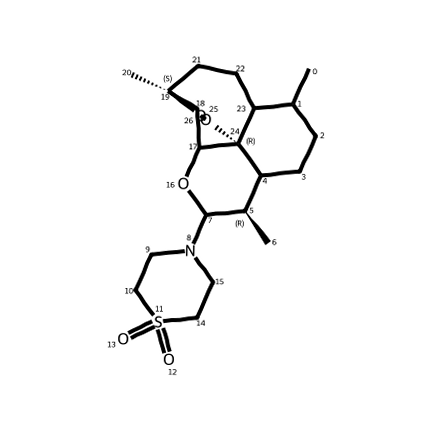 CC1CCC2[C@@H](C)C(N3CCS(=O)(=O)CC3)OC3C[C@]4(C)CCC1[C@]32OO4